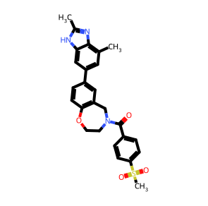 Cc1nc2c(C)cc(-c3ccc4c(c3)CN(C(=O)c3ccc(S(C)(=O)=O)cc3)CCO4)cc2[nH]1